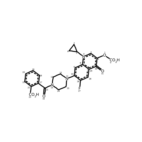 O=C(O)Oc1cn(C2CC2)c2cc(N3CCN(C(=O)c4ccccc4C(=O)O)CC3)c(F)cc2c1=O